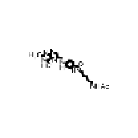 CC(=O)NCCCCCNC(=O)c1ccc(NCc2cnc3nc(C)[nH]c(=O)c3n2)cc1